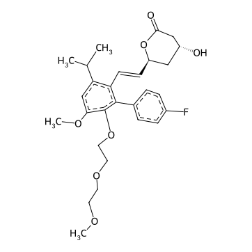 COCCOCCOc1c(OC)cc(C(C)C)c(/C=C/[C@@H]2C[C@@H](O)CC(=O)O2)c1-c1ccc(F)cc1